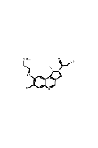 COCCOc1cc2c3c(cnc2cc1Cl)CN(C(=O)CO)[C@H]3C